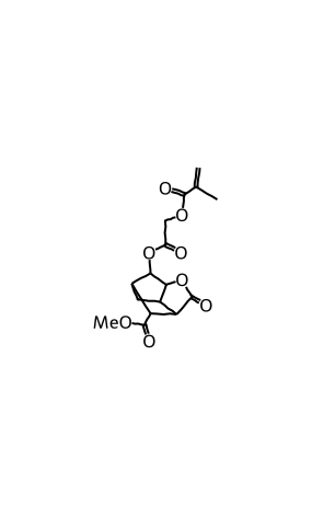 C=C(C)C(=O)OCC(=O)OC1C2CC3C1OC(=O)C3C2C(=O)OC